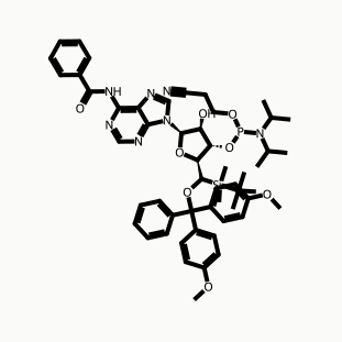 COc1ccc(C(OC([C@H]2O[C@@H](n3cnc4c(NC(=O)c5ccccc5)ncnc43)[C@@H](O)[C@@H]2OP(OCCC#N)N(C(C)C)C(C)C)[Si](C)(C)C(C)(C)C)(c2ccccc2)c2ccc(OC)cc2)cc1